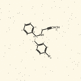 C#CCN[C@H](Cc1ccc(Br)cc1)c1ccccc1.Cl